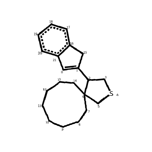 C1=C(C2CSCC23CCCCCCCC3)Cc2ccccc21